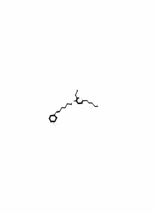 COc1ccc(C=CCCCCOc2ccc(CCCCCO)nc2CCC(=O)O)cc1